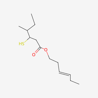 CCC=CCCOC(=O)CC(S)C(C)CC